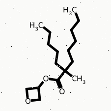 CCCCCCC(C)(CCCCC)C(=O)OC1COC1